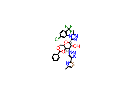 Cc1csc(-c2cn(C3C(O)[C@H](c4nnc(C)n4-c4cc(Cl)ccc4C(F)(F)F)OC4COC(c5ccccc5)O[C@@H]43)nn2)n1